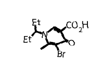 CCC(CC)n1cc(C(=O)O)c(=O)c(Br)c1C